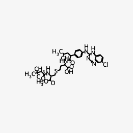 CC(C)CC(C(=O)NC(CCSCC(NC(=O)CC(C)(C)C)C(=O)O)C(=O)O)c1ccc(NC(=NC#N)Nc2ccc(Cl)cc2)cc1